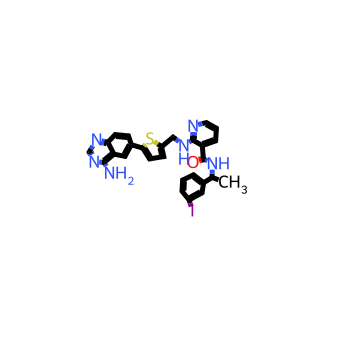 CC(NC(=O)c1cccnc1NCc1ccc(-c2ccc3ncnc(N)c3c2)s1)c1cccc(I)c1